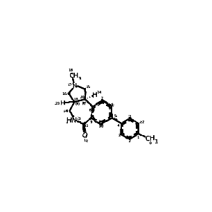 Cc1ccc(-c2ccc3c(c2)C(=O)NC[C@@H]2CN(C)C[C@@H]32)cc1